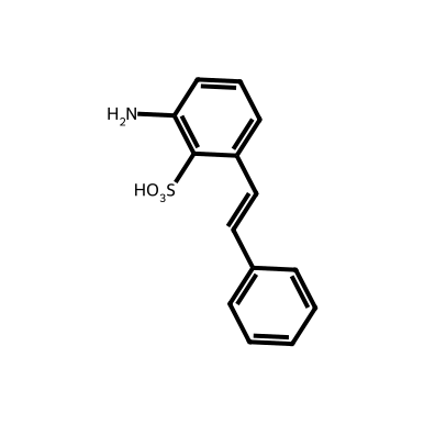 Nc1cccc(C=Cc2ccccc2)c1S(=O)(=O)O